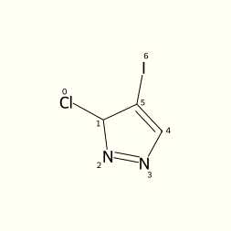 ClC1N=NC=C1I